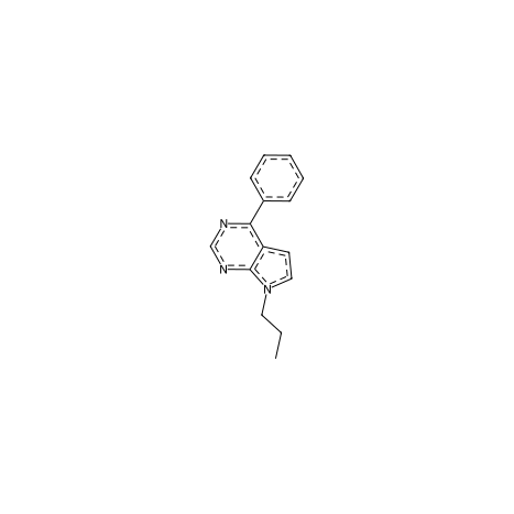 CCCn1ccc2c(-c3ccccc3)ncnc21